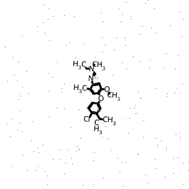 CCN(C)/C=N/c1cc(OC)c(Oc2ccc(Cl)c(C(C)C)c2)cc1C